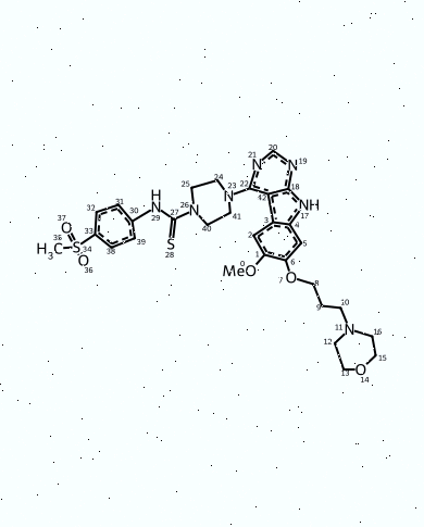 COc1cc2c(cc1OCCCN1CCOCC1)[nH]c1ncnc(N3CCN(C(=S)Nc4ccc(S(C)(=O)=O)cc4)CC3)c12